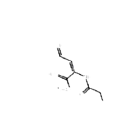 C=C/C=C(/NC(=O)CO)C(=C)NC(C)=O